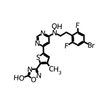 Cc1cc(-c2cc(N(O)CCc3c(F)cc(Br)cc3F)ncn2)sc1-c1noc(O)n1